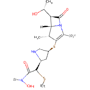 CCSC(C(=O)N(O)CC)[C@@H]1C[C@H](SC2=C(C(=O)O)N3C(=O)[C@H]([C@@H](C)O)[C@H]3[C@H]2C)CN1